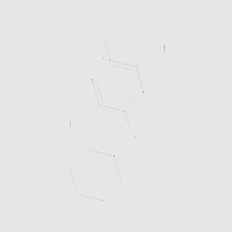 Cc1cc(OC2CCOCC2)c(C=O)cc1Cl